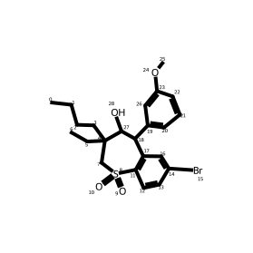 CCCCC1(CC)CS(=O)(=O)c2ccc(Br)cc2C(c2cccc(OC)c2)C1O